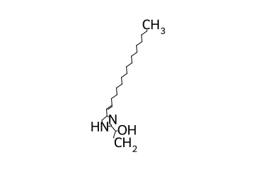 C=CC(O)C1=NC(C=CCCCCCCCCCCCCCCC)CN1